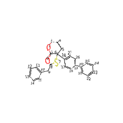 O=C1OCCCC1(SCCc1ccccc1)c1ccc(-c2ccccc2)cc1